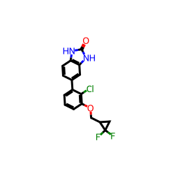 O=c1[nH]c2ccc(-c3cccc(OCC4CC4(F)F)c3Cl)cc2[nH]1